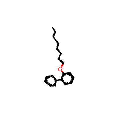 CCCCCCCCOc1ccccc1-c1[c]cccc1